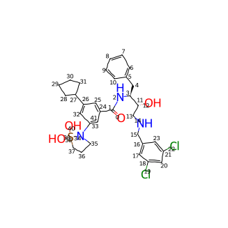 O=C(N[C@@H](Cc1ccccc1)[C@H](O)CNCc1cc(Cl)cc(Cl)c1)c1cc(C2CCCC2)cc(N2CCCS2(O)O)c1